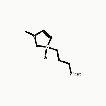 CCCCCCCC[N+]1(Br)C=CN(C)C1